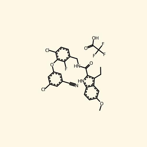 CCc1c(C(=O)NCc2ccc(Cl)c(Oc3cc(Cl)cc(C#N)c3)c2F)[nH]c2ccc(OC)cc12.O=C(O)C(F)(F)F